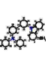 Bc1cccc2c1c1ccccc1n2-c1cccc(-c2cccc(N(c3ccccc3)c3ccccc3)c2)c1